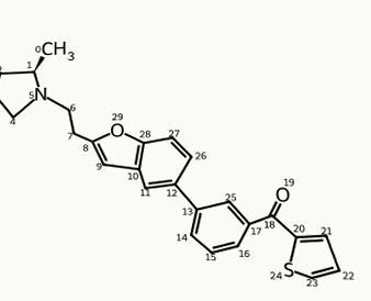 C[C@@H]1CCCN1CCc1cc2cc(-c3cccc(C(=O)c4cccs4)c3)ccc2o1